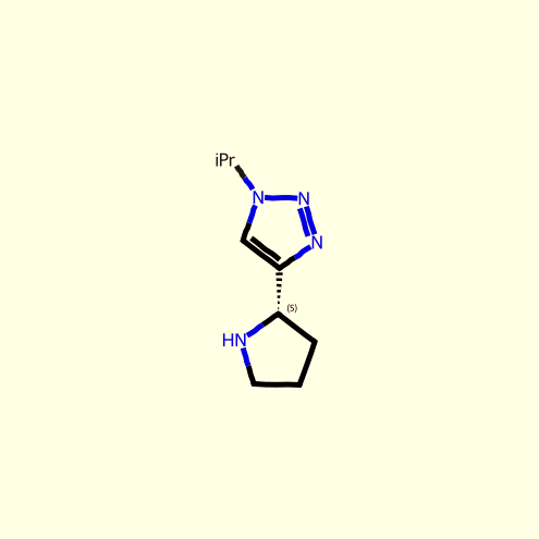 CC(C)n1cc([C@@H]2CCCN2)nn1